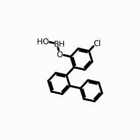 OBOc1cc(Cl)ccc1-c1ccccc1-c1ccccc1